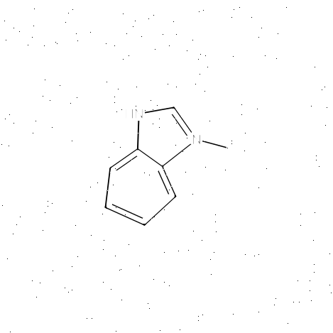 C[n+]1c[nH]c2ccccc21